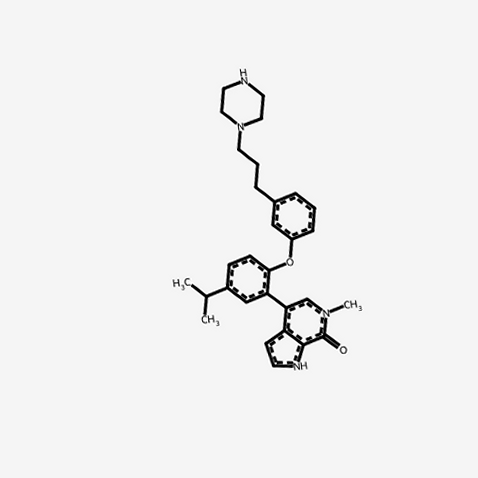 CC(C)c1ccc(Oc2cccc(CCCN3CCNCC3)c2)c(-c2cn(C)c(=O)c3[nH]ccc23)c1